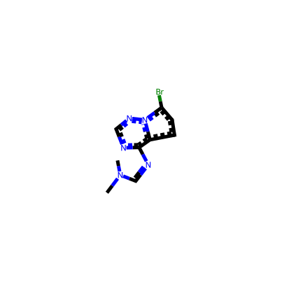 CN(C)/C=N\c1ncnn2c(Br)ccc12